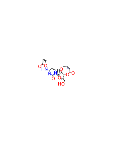 CC(C)C(=O)ONc1ccn([C@@H]2O[C@H](CO)C3OC(=O)/C=C\CO[C@@H]32)c(=O)n1